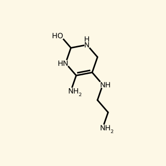 NCCNC1=C(N)NC(O)NC1